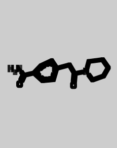 NC(=O)c1ccc(CC(=O)N2CCCCC2)cc1